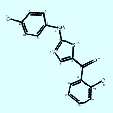 O=C(c1cnc(Nc2ccc(Cl)cc2)s1)c1ccccc1Cl